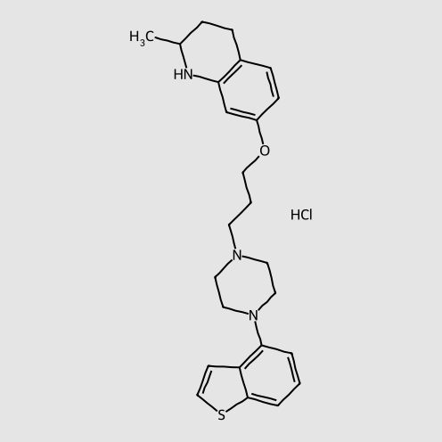 CC1CCc2ccc(OCCCN3CCN(c4cccc5sccc45)CC3)cc2N1.Cl